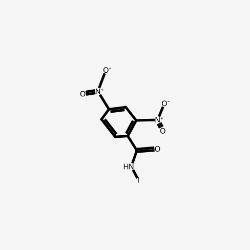 O=C(NI)c1ccc([N+](=O)[O-])cc1[N+](=O)[O-]